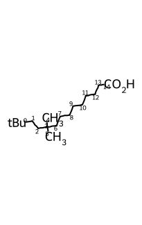 CC(C)(C)CCC(C)(C)CCCCCCCCC(=O)O